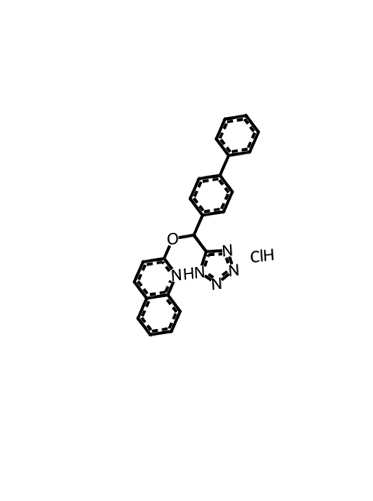 Cl.c1ccc(-c2ccc(C(Oc3ccc4ccccc4n3)c3nnn[nH]3)cc2)cc1